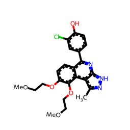 COCCOc1ccc2c(-c3ccc(O)c(Cl)c3)nc3[nH]nc(C)c3c2c1OCCOC